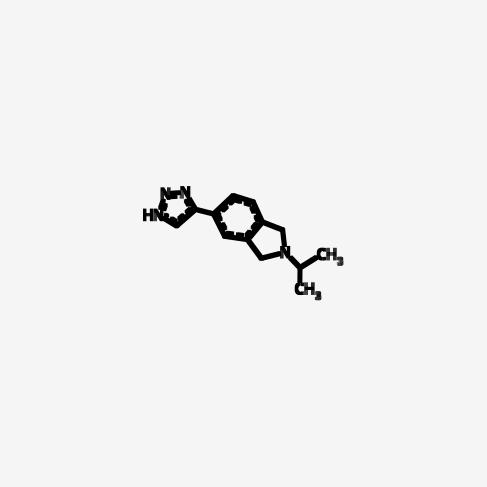 CC(C)N1Cc2ccc(-c3c[nH]nn3)cc2C1